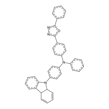 C1=CC2c3ccccc3N(c3ccc(N(c4ccccc4)c4ccc(-c5nnc(-c6ccccc6)o5)cc4)cc3)C2C=C1